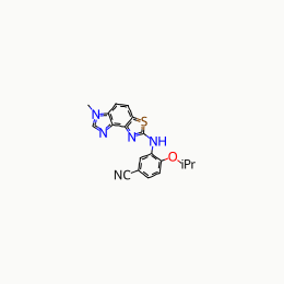 CC(C)Oc1ccc(C#N)cc1Nc1nc2c(ccc3c2ncn3C)s1